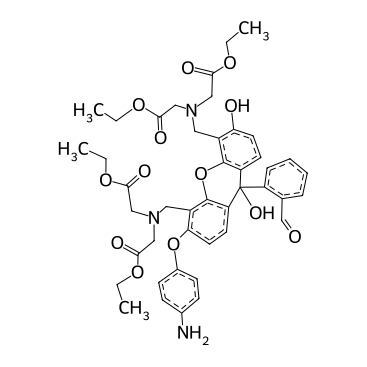 CCOC(=O)CN(CC(=O)OCC)Cc1c(O)ccc2c1Oc1c(ccc(Oc3ccc(N)cc3)c1CN(CC(=O)OCC)CC(=O)OCC)C2(O)c1ccccc1C=O